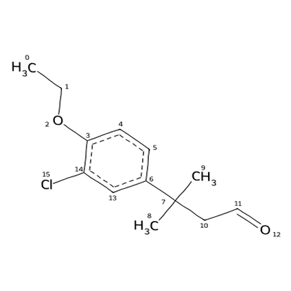 CCOc1ccc(C(C)(C)CC=O)cc1Cl